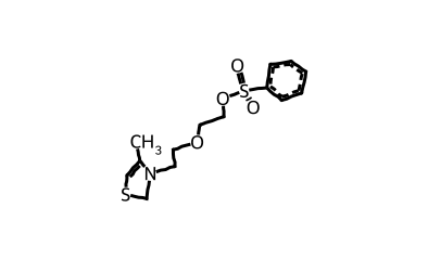 CC1=CSCN1CCOCCOS(=O)(=O)c1ccccc1